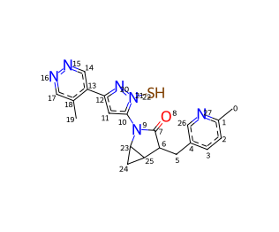 Cc1ccc(CC2C(=O)N(c3cc(-c4cnncc4C)nn3S)C3CC23)cn1